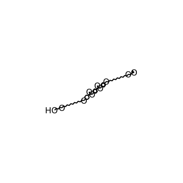 O=C(Oc1ccc(OCCCCCCCCCCCOCC2CO2)cc1)c1ccc(OC(=O)C2CCC(OCCCCCCCCCCCOCCCO)CC2)cc1